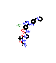 CN[C@@H](C)C(=O)N[C@H](C(=O)N1CCC[C@H]1C(=O)Nc1cc2c(Nc3ccc(CN4CCCCC4)cc3)ncnc2cc1OC)C(C)(C)C.Cl